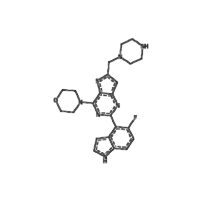 Fc1ccc2[nH]ccc2c1-c1nc(N2CCOCC2)c2sc(CN3CCNCC3)cc2n1